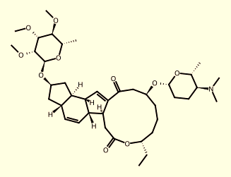 CC[C@H]1CCC[C@H](O[C@H]2CC[C@H](N(C)C)[C@@H](C)O2)CC(=O)C2=C[C@@H]3[C@@H](C=C[C@@H]4C[C@@H](O[C@@H]5O[C@@H](C)[C@H](OC)[C@@H](OC)[C@H]5OC)C[C@@H]34)[C@@H]2CC(=O)O1